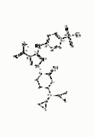 N=C1CC(N(C2CC2)C2CC2)CC[C@@H]1n1cc(C(N)=O)c(Nc2ccc(S(=O)(=O)C(F)(F)F)cc2)n1